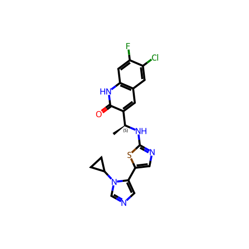 C[C@H](Nc1ncc(-c2cncn2C2CC2)s1)c1cc2cc(Cl)c(F)cc2[nH]c1=O